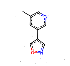 Cc1cncc(-c2cnoc2)c1